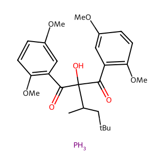 COc1ccc(OC)c(C(=O)C(O)(C(=O)c2cc(OC)ccc2OC)C(C)CC(C)(C)C)c1.P